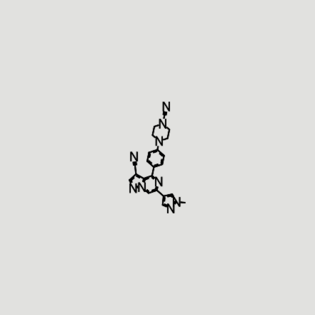 Cn1cc(-c2cn3ncc(C#N)c3c(-c3ccc(N4CCN(C#N)CC4)cc3)n2)cn1